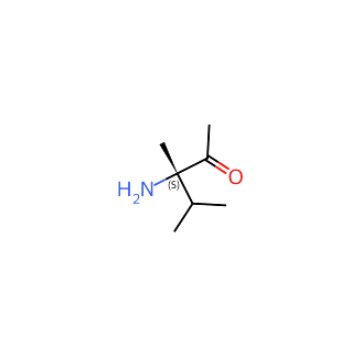 CC(=O)[C@@](C)(N)C(C)C